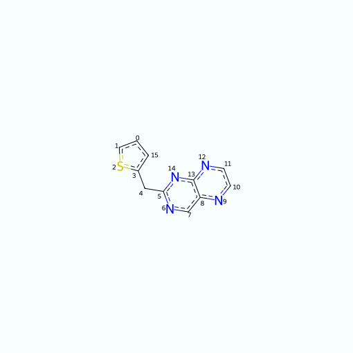 c1csc(Cc2ncc3nccnc3n2)c1